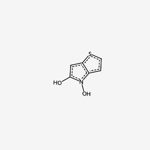 Oc1cc2sccc2n1O